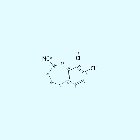 N#CN1CCCc2ccc(Cl)c(Cl)c2C1